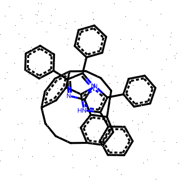 c1ccc(C2=NC(c3cc4ccc3CCCc3ccc(cc3-c3nc(-c5ccccc5)c(-c5ccccc5)[nH]3)CCC4)N=C2c2ccccc2)cc1